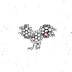 O=C(CS)OC(=O)c1c(C(=O)OCCO)c(C(=O)O)c(C(=O)OC(=O)c2c(C(=O)O)c(C(=O)O)c(C(=O)O)c(C(=O)O)c2C(=O)O)c(C(=O)OC(=O)c2c(C(=O)O)c(C(=O)O)c(C(=O)O)c(C(=O)O)c2C(=O)O)c1C(=O)OC(=O)CS